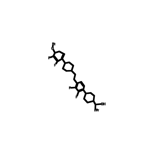 CCCC(O)C1CCC(c2ccc(CCC3CCC(C4=CCC(OCC)C(F)=C4F)CC3)c(F)c2F)CC1